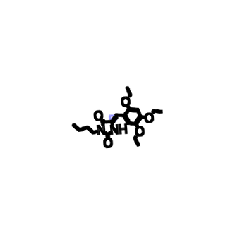 CCCCN1C(=O)N/C(=C\c2cc(OCC)c(OCC)cc2OCC)C1=O